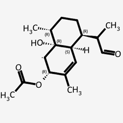 CC(=O)O[C@@H]1[CH][C@@]2(O)[C@H](C)CC[C@@H](C(C)C=O)[C@H]2C=C1C